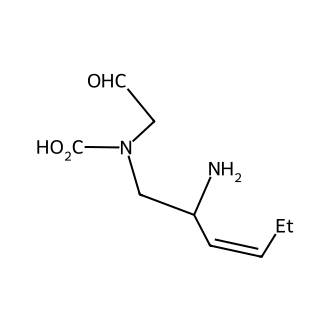 CC/C=C\C(N)CN(CC=O)C(=O)O